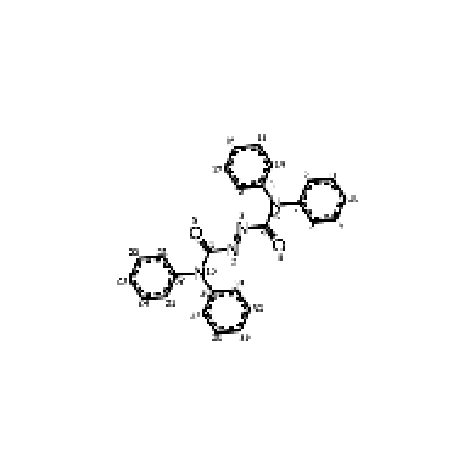 O=C(N=NC(=O)N(c1ccccc1)c1ccccc1)N(c1ccccc1)c1ccccc1